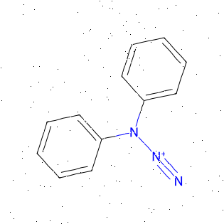 N#[N+]N(c1ccccc1)c1ccccc1